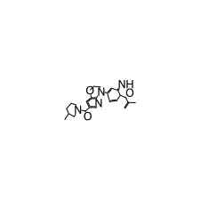 C=C(C)C(=O)C1C=CC(N2CCOc3cc(C(=O)N4CCCC(C)C4)cnc32)=CC1=N